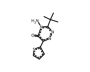 CC(C)(C)c1nnc(-c2cccs2)c(=O)n1N